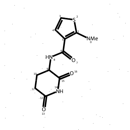 CNc1sccc1C(=O)NC1CCC(=O)NC1=O